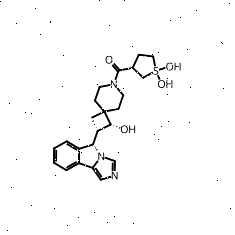 O=C(C1CCS(O)(O)C1)N1CCC2(CC1)C[C@@H]([C@H]1c3ccccc3-c3cncn31)[C@H]2O